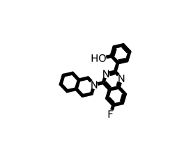 Oc1ccccc1-c1nc(N2CCC3CCCCC3C2)c2cc(F)ccc2n1